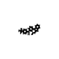 CCCc1nc2ccccc2n1-c1cncc(Nc2ccc(C(F)(F)F)cc2)n1